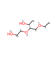 CCO.[CH2]COCCOCCO